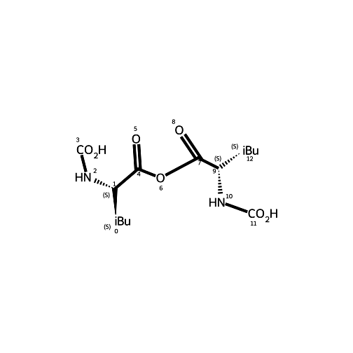 CC[C@H](C)[C@H](NC(=O)O)C(=O)OC(=O)[C@@H](NC(=O)O)[C@@H](C)CC